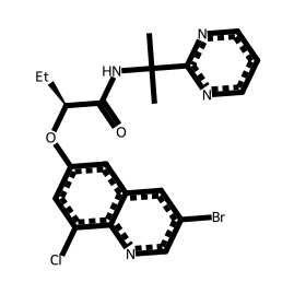 CC[C@H](Oc1cc(Cl)c2ncc(Br)cc2c1)C(=O)NC(C)(C)c1ncccn1